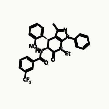 CCN1C(=O)[C@@H](NC(=O)c2cccc(C(F)(F)F)c2)[C@H](c2ccccc2[N+](=O)[O-])c2c(C)nn(-c3ccccc3)c21